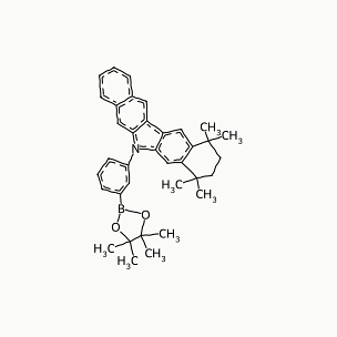 CC1(C)CCC(C)(C)c2cc3c(cc21)c1cc2ccccc2cc1n3-c1cccc(B2OC(C)(C)C(C)(C)O2)c1